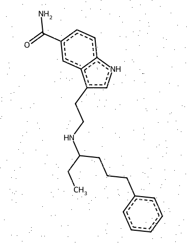 CCC(CCCc1ccccc1)NCCc1c[nH]c2ccc(C(N)=O)cc12